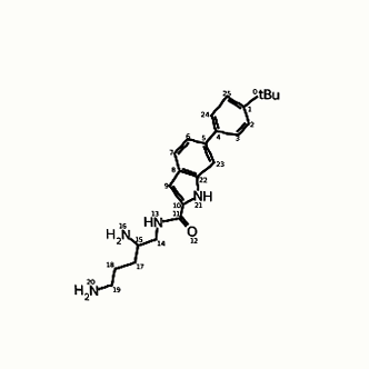 CC(C)(C)c1ccc(-c2ccc3cc(C(=O)NCC(N)CCCN)[nH]c3c2)cc1